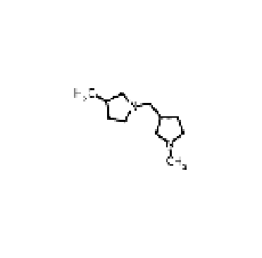 CC1CCN(CC2CCN(C)C2)C1